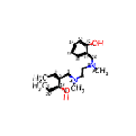 C/C=C(CN(C)CCN(C)Cc1ccccc1O)\C(O)=C/C